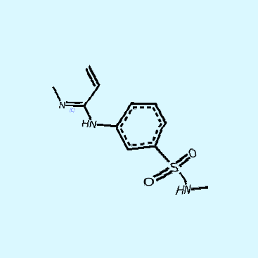 C=C/C(=N\C)Nc1cccc(S(=O)(=O)NC)c1